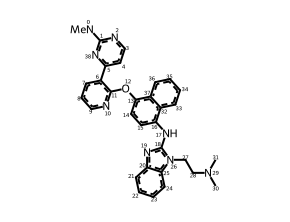 CNc1nccc(-c2cccnc2Oc2ccc(Nc3nc4ccccc4n3CCN(C)C)c3ccccc23)n1